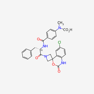 CN(C(=O)O)c1ccc(C(=O)N[C@@H](Cc2ccccc2)C(=O)N2CC3(C2)OC(=O)Nc2ccc(Cl)cc23)cc1